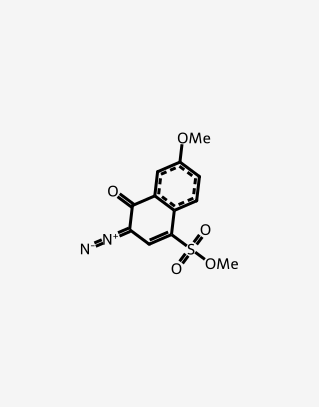 COc1ccc2c(c1)C(=O)C(=[N+]=[N-])C=C2S(=O)(=O)OC